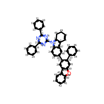 C1=Cc2c(n(-c3nc(-c4ccccc4)nc(-c4ccccc4)n3)c3ccc(-c4cc5c(cc4-c4ccccc4)oc4ccccc45)cc23)CC1